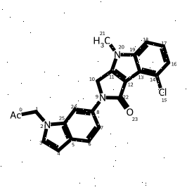 CC(=O)Cn1ccc2ccc(N3Cc4c(c5c(Cl)cccc5n4C)C3=O)cc21